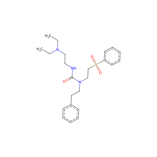 CCN(CC)CCNC(=O)N(CCc1ccccc1)CCS(=O)(=O)c1ccccc1